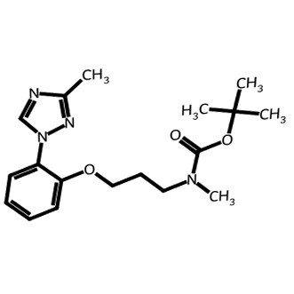 Cc1ncn(-c2ccccc2OCCCN(C)C(=O)OC(C)(C)C)n1